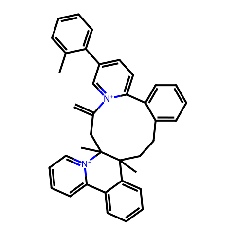 C=C1CC2(C)[n+]3ccccc3-c3ccccc3C2(C)CCc2ccccc2-c2ccc(-c3ccccc3C)c[n+]21